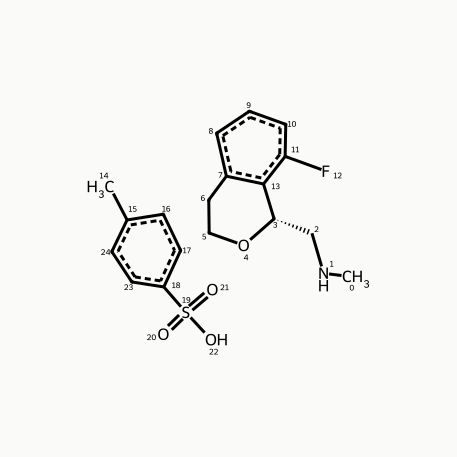 CNC[C@@H]1OCCc2cccc(F)c21.Cc1ccc(S(=O)(=O)O)cc1